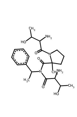 CC(O)C(N)C(=O)N(C(=O)C1(C)CCCN1C(=O)C(N)C(C)O)C(C)c1ccccc1